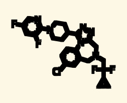 Fc1cnc(N2CCC(c3nnc4n3-c3ccc(Cl)cc3CN(CC(F)(F)C3CC3)C4)CC2)c(F)c1